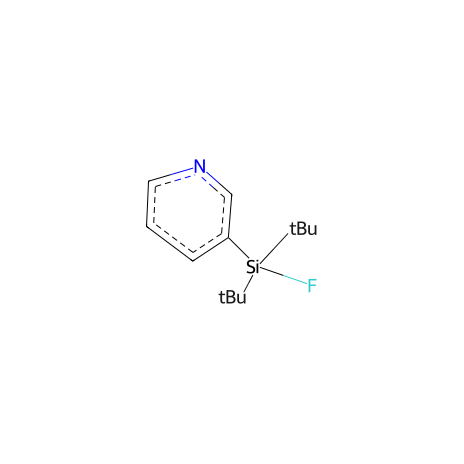 CC(C)(C)[Si](F)(c1cccnc1)C(C)(C)C